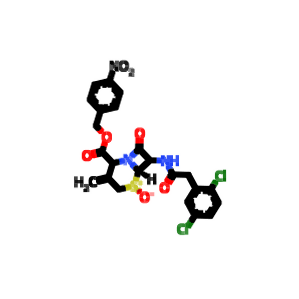 C=C1C[S+]([O-])[C@H]2C(NC(=O)Cc3cc(Cl)ccc3Cl)C(=O)N2C1C(=O)OCc1ccc([N+](=O)[O-])cc1